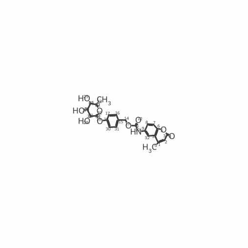 Cc1cc(=O)oc2ccc(NC(=O)OCc3ccc(O[C@@H]4O[C@@H](C)[C@@H](O)[C@@H](O)[C@@H]4O)cc3)cc12